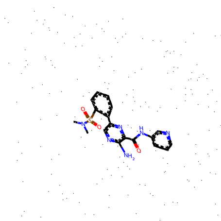 CN(C)S(=O)(=O)c1ccccc1-c1cnc(N)c(C(=O)Nc2cccnc2)n1